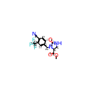 COC(=O)C1CNC(=O)N1Cc1ccc(C#N)c(C(F)(F)F)c1